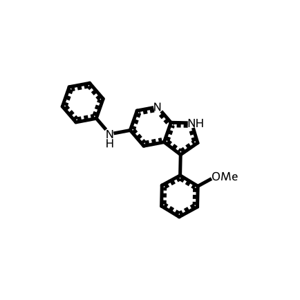 COc1ccccc1-c1c[nH]c2ncc(Nc3ccccc3)cc12